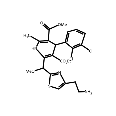 CCOC(=O)C1=C(C(OC)c2nc(CCN)cs2)NC(C)=C(C(=O)OC)C1c1cccc(Cl)c1Cl